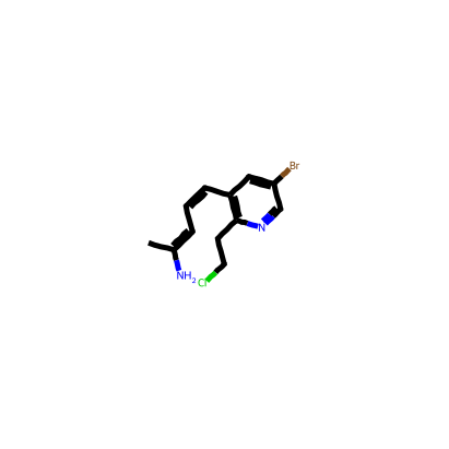 C/C(N)=C\C=C/c1cc(Br)cnc1CCCl